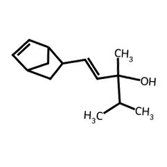 CC(C)C(C)(O)/C=C/C1CC2C=CC1C2